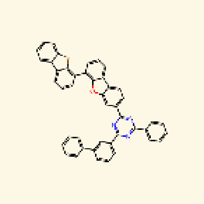 c1ccc(-c2cccc(-c3nc(-c4ccccc4)nc(-c4ccc5c(c4)oc4c(-c6cccc7c6sc6ccccc67)cccc45)n3)c2)cc1